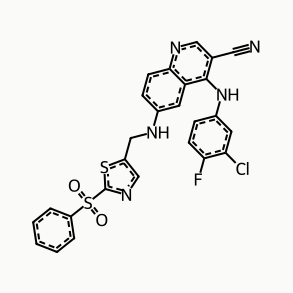 N#Cc1cnc2ccc(NCc3cnc(S(=O)(=O)c4ccccc4)s3)cc2c1Nc1ccc(F)c(Cl)c1